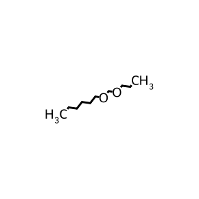 CCCCCCOCOCCC